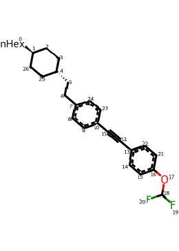 CCCCCC[C@H]1CC[C@H](CCc2ccc(C#Cc3ccc(OC(F)F)cc3)cc2)CC1